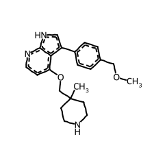 COCc1ccc(-c2c[nH]c3nccc(OCC4(C)CCNCC4)c23)cc1